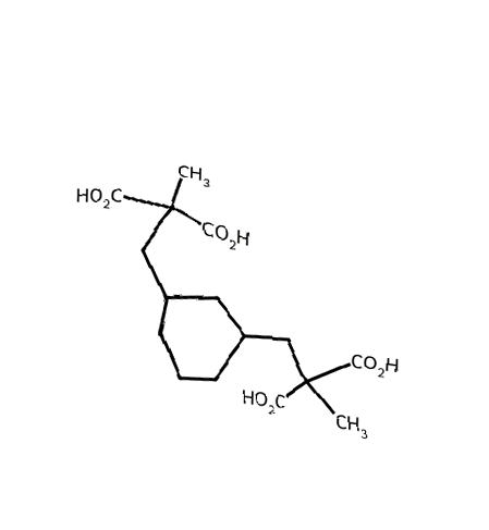 CC(CC1CCCC(CC(C)(C(=O)O)C(=O)O)C1)(C(=O)O)C(=O)O